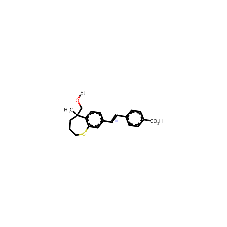 CCOCC1(C)CCCSc2cc(/C=C/c3ccc(C(=O)O)cc3)ccc21